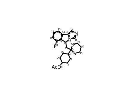 CC(=O)OC1CCC(C2(CC3c4c(F)cccc4-c4cncn43)SCCCS2)CC1